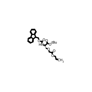 C=CCOC(=O)COC[C@H](NC(=O)OCC1c2ccccc2-c2ccccc21)C(=O)OC(C)(C)C